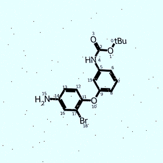 CC(C)(C)OC(=O)Nc1cccc(Oc2ccc(N)cc2Br)c1